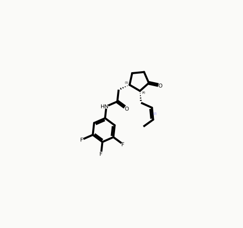 C/C=C\C[C@H]1C(=O)CC[C@H]1CC(=O)Nc1cc(F)c(F)c(F)c1